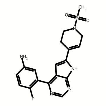 CS(=O)(=O)N1CC=C(c2cc3c(-c4cc(N)ccc4F)ncnc3[nH]2)CC1